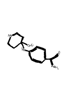 CC1(Nc2ccc(C(N)=O)cc2)CCNCC1